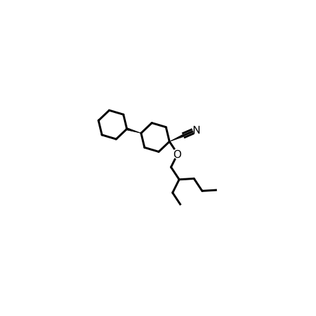 CCCC(CC)CO[C@]1(C#N)CC[C@@H](C2CCCCC2)CC1